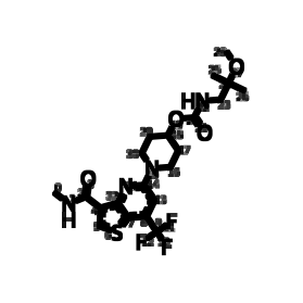 CNC(=O)c1csc2c(C(F)(F)F)cc(N3CCC(OC(=O)NCC(C)(C)OC)CC3)nc12